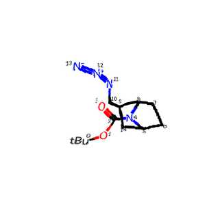 CC(C)(C)OC(=O)N1C2CCC1C(CN=[N+]=[N-])C2